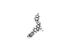 C[C@@H]1Cc2cnc(OCc3cc(-c4ccc(N5Cc6c[nH]nc6C5)cc4F)c(C(F)(F)F)cc3F)cc2C1